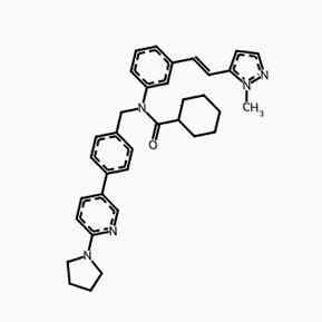 Cn1nccc1C=Cc1cccc(N(Cc2ccc(-c3ccc(N4CCCC4)nc3)cc2)C(=O)C2CCCCC2)c1